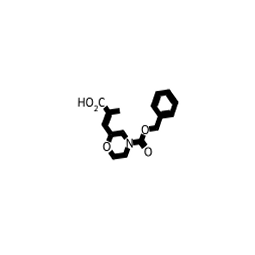 CC(=CC1CN(C(=O)OCc2ccccc2)CCO1)C(=O)O